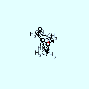 CCCC/C(=N/C1(C=O)CCCC1)N(C)Cc1ccc(-c2ccccc2[S+]([O-])Nc2noc(C)c2C)c(CN2CCC3(CC3)C2=O)c1